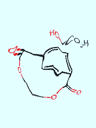 O=C(O)O.O=C1OCCOC(=O)c2ccc1cc2